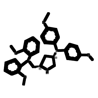 COc1ccc(P(c2ccc(OC)cc2)[C@@H]2CN[C@H](CP(c3ccccc3OC)c3ccccc3OC)C2)cc1